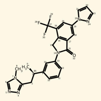 C[C@H](Cc1nncn1C)c1cccc(N2Cc3c(cc(-n4cccn4)cc3C(F)(F)F)C2=O)c1